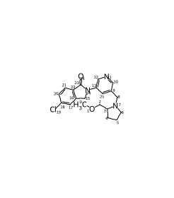 COCC1CCCN1Cc1cncc(N2Cc3cc(Cl)ccc3C2=O)c1